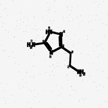 NCCc1n[nH]c(N)n1